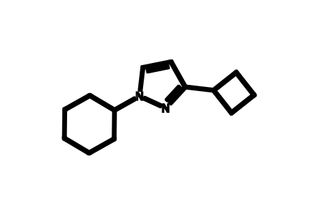 c1cn(C2CCCCC2)nc1C1CCC1